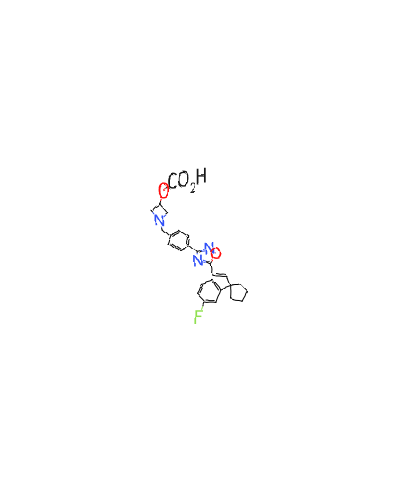 O=C(O)OC1CN(Cc2ccc(-c3noc(/C=C/C4(c5cccc(F)c5)CCCC4)n3)cc2)C1